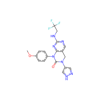 COc1ccc(N2C(=O)N(c3cn[nH]c3)Cc3cnc(NCC(F)(F)F)nc32)cc1